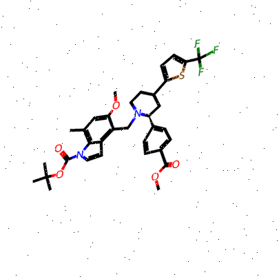 COC(=O)c1ccc([C@@H]2CC(c3ccc(C(F)(F)F)s3)CCN2Cc2c(OC)cc(C)c3c2ccn3C(=O)OC(C)(C)C)cc1